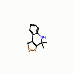 CC1(C)Nc2ccccc2C2=C1SSC2